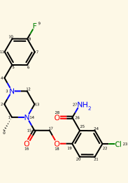 C[C@@H]1CN(Cc2ccc(F)cc2)CCN1C(=O)COc1ccc(Cl)cc1C(N)=O